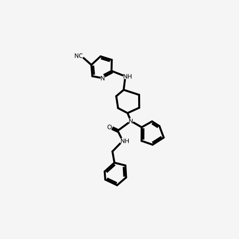 N#Cc1ccc(NC2CCC(N(C(=O)NCc3ccccc3)c3ccccc3)CC2)nc1